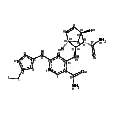 CCn1cc(Nc2ncc(C(N)=O)c(N[C@@H]3[C@@H](C(N)=O)[C@H]4C=C[C@H]3C4)n2)cn1